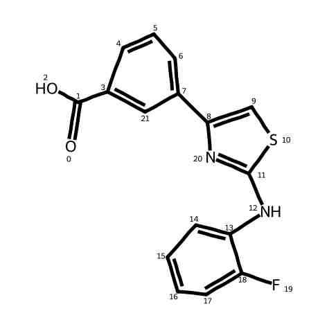 O=C(O)c1cccc(-c2csc(Nc3ccccc3F)n2)c1